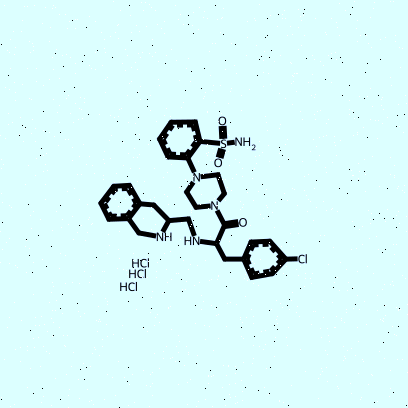 Cl.Cl.Cl.NS(=O)(=O)c1ccccc1N1CCN(C(=O)C(Cc2ccc(Cl)cc2)NCC2Cc3ccccc3CN2)CC1